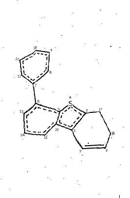 C1=Cc2c(sc3c(-c4ccccc4)cccc23)CC1